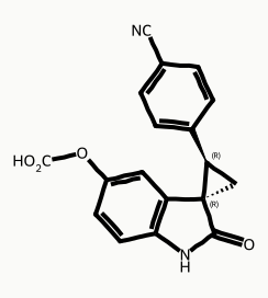 N#Cc1ccc([C@H]2C[C@@]23C(=O)Nc2ccc(OC(=O)O)cc23)cc1